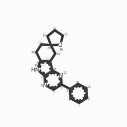 c1ccc(-c2cnc3[nH]c4c(c3n2)CC2(CCCO2)CC4)cc1